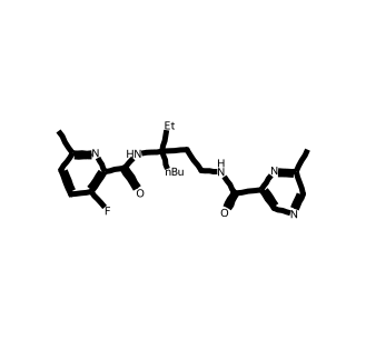 CCCCC(CC)(CCNC(=O)c1cncc(C)n1)NC(=O)c1nc(C)ccc1F